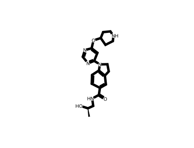 C[C@@H](O)CNC(=O)c1ccc2c(c1)CCN2c1cc(OC2CCNCC2)ncn1